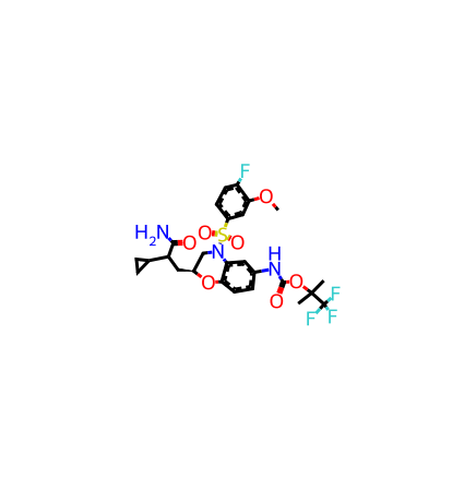 COc1cc(S(=O)(=O)N2C[C@H](CC(C(N)=O)C3CC3)Oc3ccc(NC(=O)OC(C)(C)C(F)(F)F)cc32)ccc1F